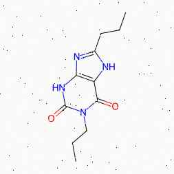 CCCc1nc2[nH]c(=O)n(CCC)c(=O)c2[nH]1